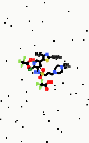 CC(=O)Nc1nc(C)c(-c2cnc(Cl)c(NS(=O)(=O)CCCN3CCN(C)CC3)c2)s1.O=C(O)C(F)(F)F.O=C(O)C(F)(F)F